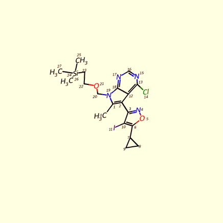 Cc1c(-c2noc(C3CC3)c2I)c2c(Cl)ncnc2n1COCC[Si](C)(C)C